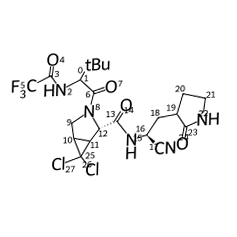 CC(C)(C)C(NC(=O)C(F)(F)F)C(=O)N1CC2C([C@H]1C(=O)N[C@H](C#N)CC1CCNC1=O)C2(Cl)Cl